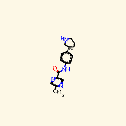 Cc1cnc(C(=O)Nc2ccc([C@@H]3CCCNC3)cc2)cn1